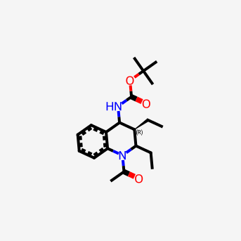 CCC1[C@H](CC)C(NC(=O)OC(C)(C)C)c2ccccc2N1C(C)=O